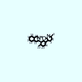 Cc1ccc2c(n1)oc1c(-c3cc4ccccc4c[n+]3C)c(C)ccc12